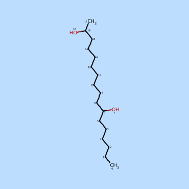 CCCCCCC(O)CCCCCCCCC(C)O